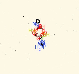 Nc1ncnc2c1ncn2C1OC2COP(=O)(S)OC3C(O)C(COP(=O)(S)OC2C1F)OC3n1cnc2ccccc21